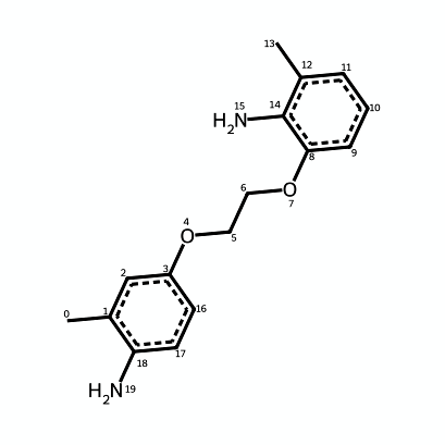 Cc1cc(OCCOc2cccc(C)c2N)ccc1N